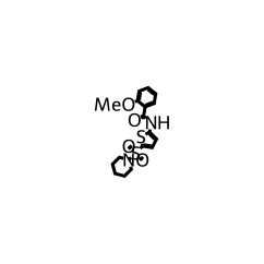 COc1ccccc1C(=O)Nc1ccc(S(=O)(=O)N2CCCCC2)s1